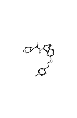 Cc1ccc(CCOc2ccc3[nH]cc(NC(=O)C4C5COCC54)c3c2)cc1